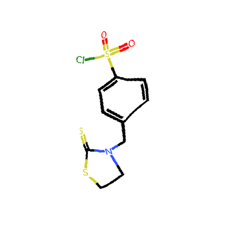 O=S(=O)(Cl)c1ccc(CN2CCSC2=S)cc1